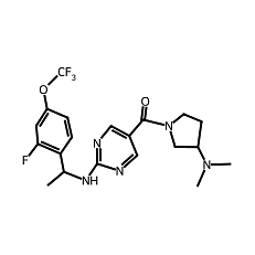 CC(Nc1ncc(C(=O)N2CCC(N(C)C)C2)cn1)c1ccc(OC(F)(F)F)cc1F